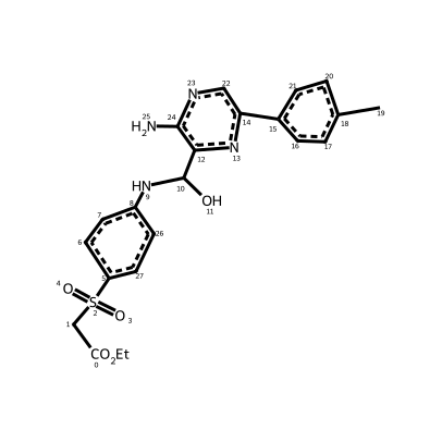 CCOC(=O)CS(=O)(=O)c1ccc(NC(O)c2nc(-c3ccc(C)cc3)cnc2N)cc1